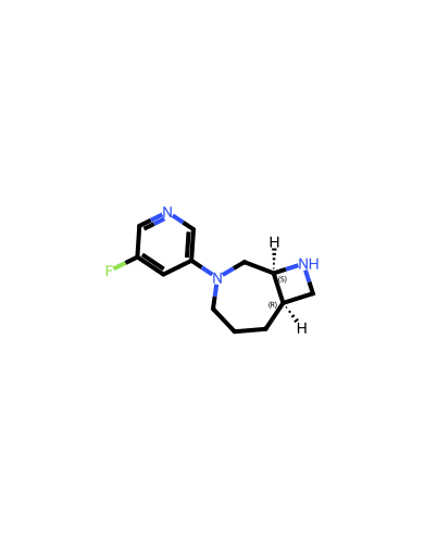 Fc1cncc(N2CCC[C@@H]3CN[C@@H]3C2)c1